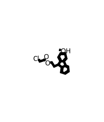 CO.O=C(CCl)OCCC1c2ccccc2-c2ccccc21